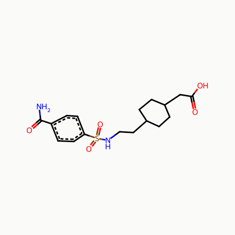 NC(=O)c1ccc(S(=O)(=O)NCCC2CCC(CC(=O)O)CC2)cc1